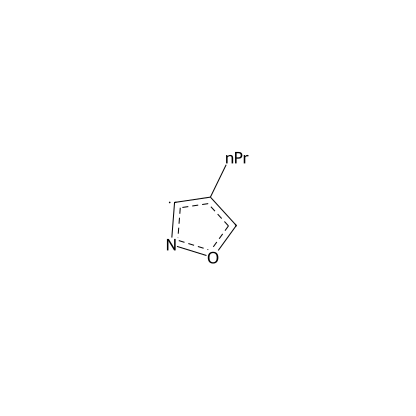 CCCc1[c]noc1